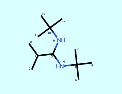 CC(C)C(NC(C)(C)C)NC(C)(C)C